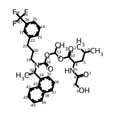 CC(C)CC(NC(=O)CO)C(=O)OC(C)OC(=O)N(CCCc1cccc(C(F)(F)F)c1)[C@H](C)c1cccc2ccccc12